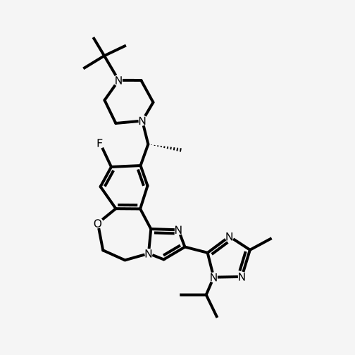 Cc1nc(-c2cn3c(n2)-c2cc([C@@H](C)N4CCN(C(C)(C)C)CC4)c(F)cc2OCC3)n(C(C)C)n1